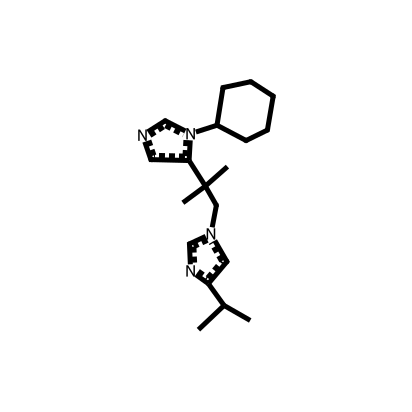 CC(C)c1cn(CC(C)(C)c2cncn2C2CCCCC2)cn1